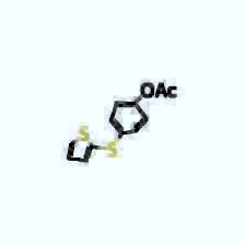 CC(=O)Oc1ccc(Sc2cccs2)cc1